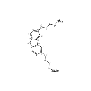 CNCCCOc1ccc2oc3ccc(OCCCNC)cc3c2c1